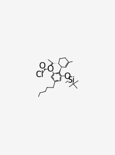 C=C(C)[C@@H]1CCC(C)=C[C@H]1c1c(OC(=O)Cl)cc(CCCCC)cc1O[Si](C)(C)C(C)(C)C